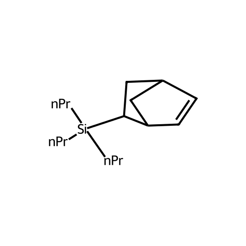 CCC[Si](CCC)(CCC)C1CC2C=CC1C2